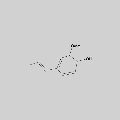 CC=CC1=CC(OC)C(O)C=C1